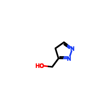 OCC1=NN=CC1